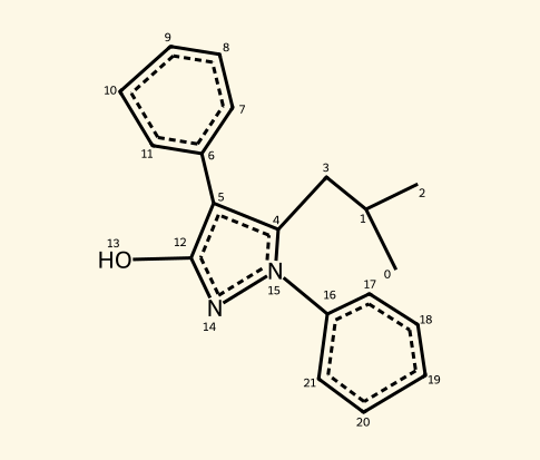 CC(C)Cc1c(-c2ccccc2)c(O)nn1-c1ccccc1